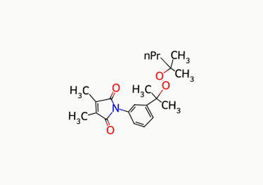 CCCC(C)(C)OOC(C)(C)c1cccc(N2C(=O)C(C)=C(C)C2=O)c1